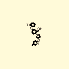 COc1ccccc1Oc1ccc(N2CC[C@H](Oc3ccc(C)cn3)C2)c(CO)c1